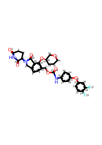 O=C1CCC(N2Cc3ccc(COC(=O)Nc4ccc(Oc5ccc(F)c(F)c5)cc4)c(O[C@@H]4CCCOC4)c3C2=O)C(=O)N1